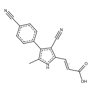 Cc1[nH]c(/C=C/C(=O)O)c(C#N)c1-c1ccc(C#N)cc1